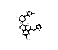 Cc1nnc([C@H]2CNC[C@@H](N(CC(C)C)C(=O)c3cnc(C(C)(C)C)nc3NCc3ccco3)C2)o1